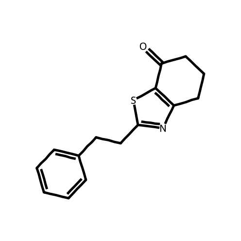 O=C1CCCc2nc(CCc3ccccc3)sc21